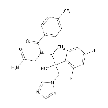 CC(N(CC(N)=O)C(=O)c1ccc(C(F)(F)F)cc1)C(O)(Cn1cncn1)c1ccc(F)cc1F